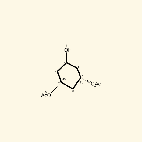 CC(=O)O[C@@H]1CC(O)C[C@H](OC(C)=O)C1